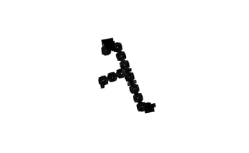 Cc1cccc(-c2ccc(C3=CCC(C(C)(c4ccc(-c5ccc(-c6cccc(-n7nnc8ccccc87)c6)cc5)cc4)c4ccc(C(C)(C)c5ccc(-c6ccc(-c7cccc(Br)c7)cc6)cc5)cc4)C=C3)cc2)c1